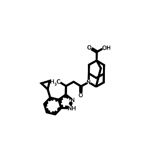 CC(CC(=O)N1C2CC3CC1CC(C(=O)O)(C3)C2)c1n[nH]c2cccc(C3CC3)c12